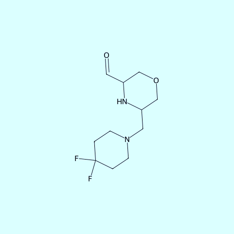 O=CC1COCC(CN2CCC(F)(F)CC2)N1